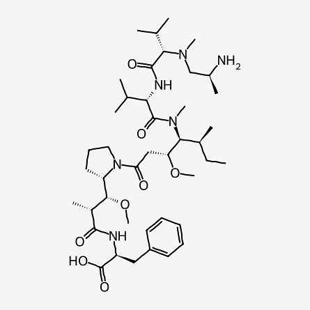 CC[C@H](C)[C@@H]([C@@H](CC(=O)N1CCC[C@H]1[C@H](OC)[C@@H](C)C(=O)N[C@@H](Cc1ccccc1)C(=O)O)OC)N(C)C(=O)[C@@H](NC(=O)[C@H](C(C)C)N(C)C[C@H](C)N)C(C)C